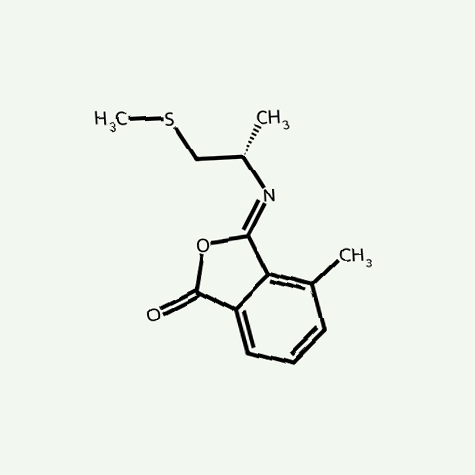 CSC[C@H](C)/N=C1\OC(=O)c2cccc(C)c21